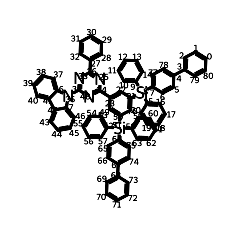 c1ccc(-c2ccc([Si](c3ccccc3)(c3ccccc3)c3cc(-c4nc(-c5ccccc5)nc(-n5c6ccccc6c6ccccc65)n4)cc([Si](c4ccccc4)(c4ccccc4)c4ccc(-c5ccccc5)cc4)c3)cc2)cc1